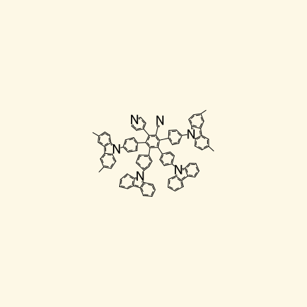 Cc1ccc2c(c1)c1cc(C)ccc1n2-c1ccc(-c2c(C#N)c(-c3ccncc3)c(-c3ccc(-n4c5ccc(C)cc5c5cc(C)ccc54)cc3)c(-c3ccc(-n4c5ccccc5c5ccccc54)cc3)c2-c2ccc(-n3c4ccccc4c4ccccc43)cc2)cc1